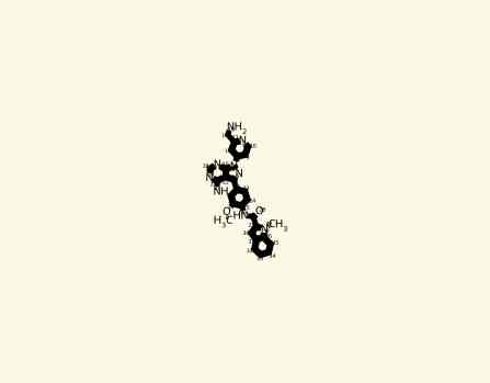 COc1cc(-c2nn(-c3ccnc(CN)c3)c3ncnc(N)c23)ccc1NC(=O)c1cc2ccccc2n1C